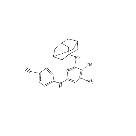 C#Cc1ccc(Nc2cc(N)c(C#N)c(NC34CC5CC(CC(C5)C3)C4)n2)cc1